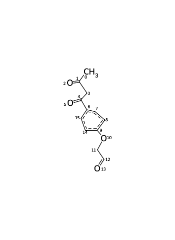 CC(=O)CC(=O)c1ccc(OCC=O)cc1